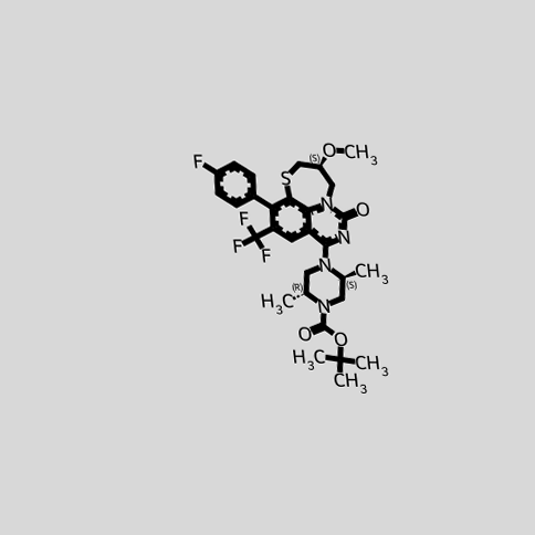 CO[C@@H]1CSc2c(-c3ccc(F)cc3)c(C(F)(F)F)cc3c(N4C[C@@H](C)N(C(=O)OC(C)(C)C)C[C@@H]4C)nc(=O)n(c23)C1